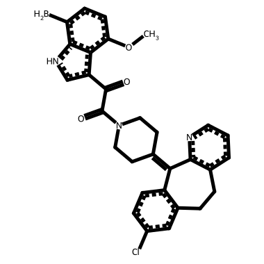 Bc1ccc(OC)c2c(C(=O)C(=O)N3CCC(=C4c5ccc(Cl)cc5CCc5cccnc54)CC3)c[nH]c12